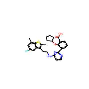 Cc1sc2c(C)cc(F)cc2c1CCNc1ccnc(-c2cccc(C(=O)O)c2OC2CCCC2)n1